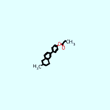 CCC(=O)Oc1ccc(-c2ccc3c(c2)CCC(C)C3)cc1